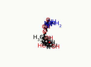 C[C@H](CCCOCC(CO)Cn1cnc2c(=O)[nH]c(N)nc21)[C@H]1CC[C@H]2[C@@H]3[C@H](O)C[C@@H]4C[C@H](O)CC[C@]4(C)[C@H]3C[C@H](O)[C@]12C